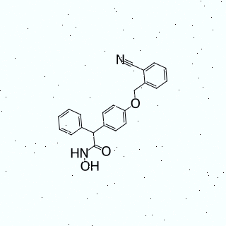 N#Cc1ccccc1COc1ccc(C(C(=O)NO)c2ccccc2)cc1